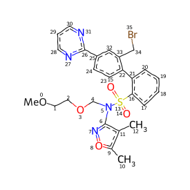 COCCOCN(c1noc(C)c1C)S(=O)(=O)c1ccccc1-c1ccc(-c2ncccn2)cc1CBr